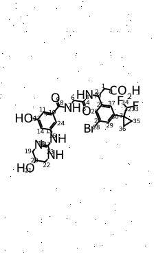 O=C(O)C[C@H](NC(=O)CNC(=O)c1cc(O)cc(NC2=NCC(O)CN2)c1)c1cc(Br)cc(C2(C(F)F)CC2)c1